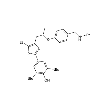 CCc1sc(-c2cc(C(C)(C)C)c(O)c(C(C)(C)C)c2)nc1CC(C)Sc1ccc(CNC(C)C)cc1